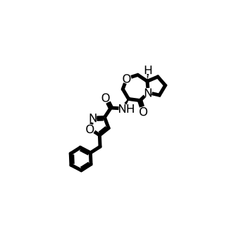 O=C(N[C@H]1COC[C@H]2CCCN2C1=O)c1cc(Cc2ccccc2)on1